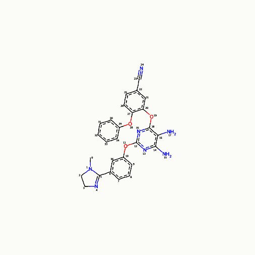 CN1CCN=C1c1cccc(Oc2nc(N)c(N)c(Oc3cc(C#N)ccc3Oc3ccccc3)n2)c1